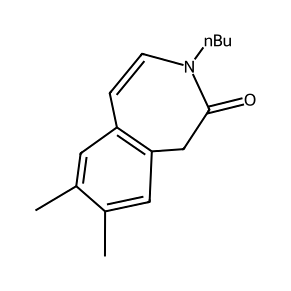 CCCCN1C=Cc2cc(C)c(C)cc2CC1=O